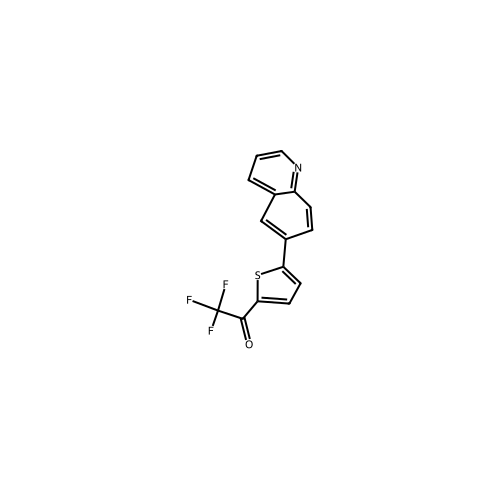 O=C(c1ccc(-c2ccc3ncccc3c2)s1)C(F)(F)F